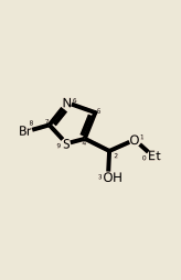 CCOC(O)c1cnc(Br)s1